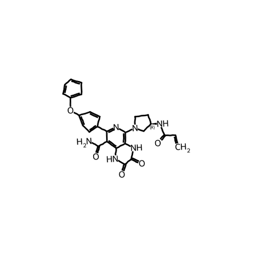 C=CC(=O)N[C@@H]1CCN(c2nc(-c3ccc(Oc4ccccc4)cc3)c(C(N)=O)c3[nH]c(=O)c(=O)[nH]c23)C1